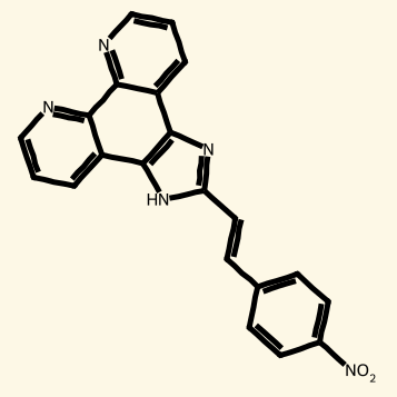 O=[N+]([O-])c1ccc(C=Cc2nc3c4cccnc4c4ncccc4c3[nH]2)cc1